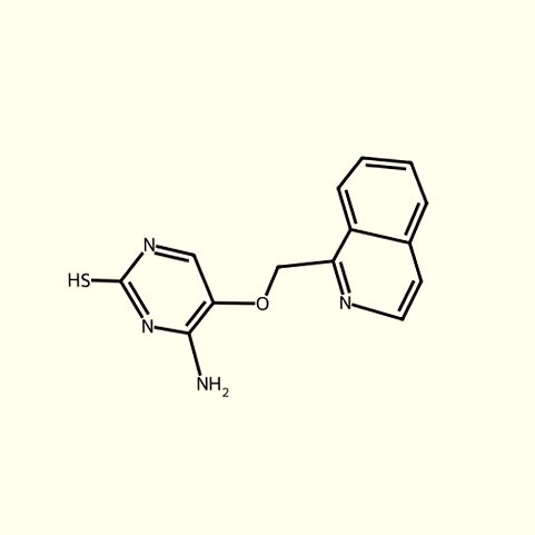 Nc1nc(S)ncc1OCc1nccc2ccccc12